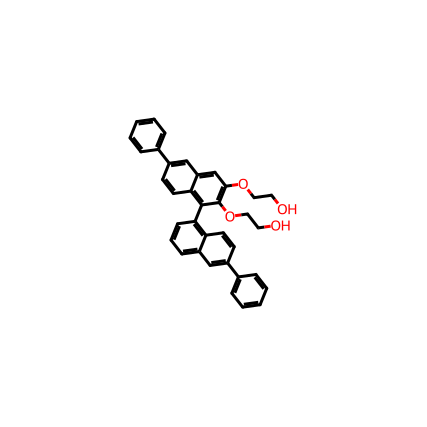 OCCOc1cc2cc(-c3ccccc3)ccc2c(-c2cccc3cc(-c4ccccc4)ccc23)c1OCCO